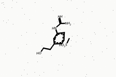 CS(=O)(=O)O.N=C(N)Nc1cccc(CCO)c1